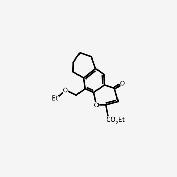 CCOCc1c2c(cc3c(=O)cc(C(=O)OCC)oc13)CCCC2